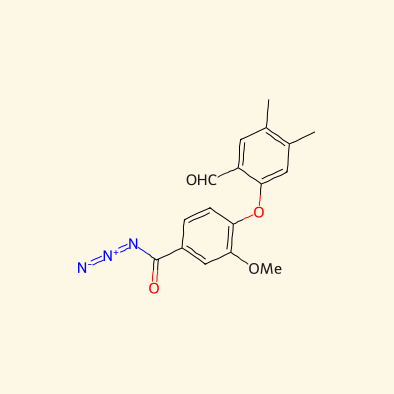 COc1cc(C(=O)N=[N+]=[N-])ccc1Oc1cc(C)c(C)cc1C=O